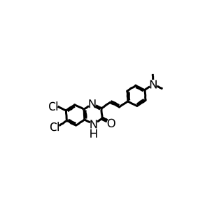 CN(C)c1ccc(C=Cc2nc3cc(Cl)c(Cl)cc3[nH]c2=O)cc1